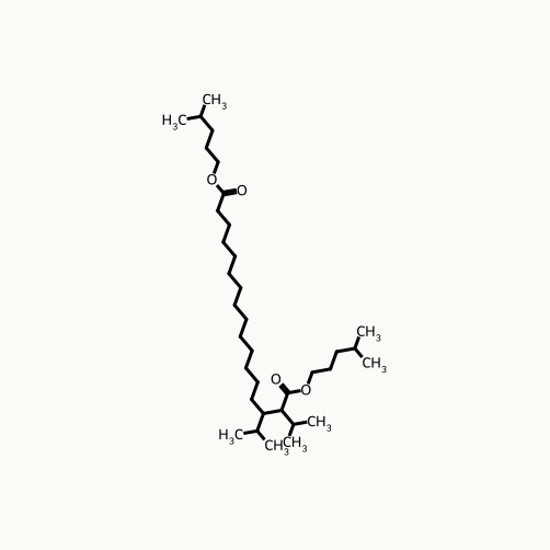 CC(C)CCCOC(=O)CCCCCCCCCCCCCC(C(C)C)C(C(=O)OCCCC(C)C)C(C)C